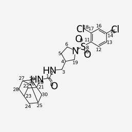 O=C(NCC1CCN(S(=O)(=O)c2ccc(Cl)cc2Cl)C1)NC12CC3CC(CC(C3)C1)C2